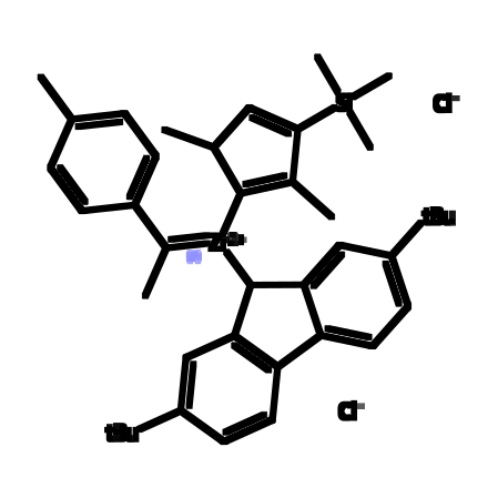 CC1=[C](/[Zr+2](=[C](/C)c2ccc(C)cc2)[CH]2c3cc(C(C)(C)C)ccc3-c3ccc(C(C)(C)C)cc32)C(C)C=C1[Si](C)(C)C.[Cl-].[Cl-]